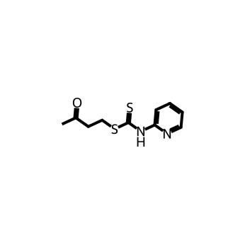 CC(=O)CCSC(=S)Nc1ccccn1